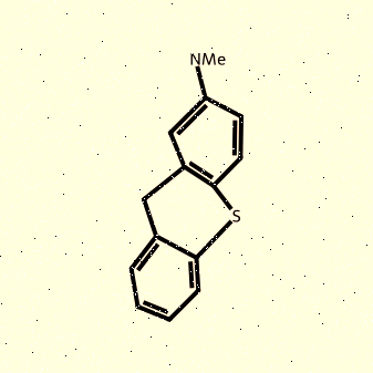 CNc1ccc2c(c1)Cc1ccccc1S2